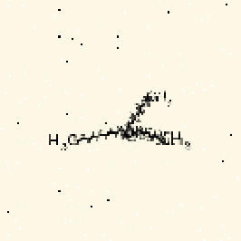 CCCCCCCCCCCN1C=CN(CCCCCCC)C1CCCCCCCC